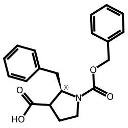 O=C(O)C1CCN(C(=O)OCc2ccccc2)[C@@H]1Cc1ccccc1